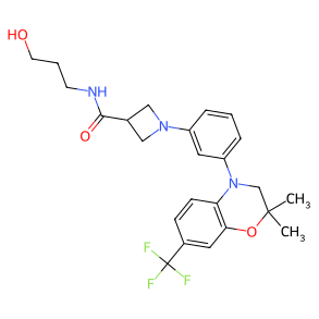 CC1(C)CN(c2cccc(N3CC(C(=O)NCCCO)C3)c2)c2ccc(C(F)(F)F)cc2O1